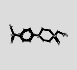 CCP1(=O)CCN(c2ccc([N+](=O)[O-])cc2)CC1